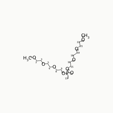 COCCOCCOCCOP(=O)(I)OCCOCCOCCOC